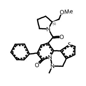 COC[C@@H]1CCCN1C(=O)c1cc(-c2ccccc2)c(=O)n2c1-c1sccc1CN2C